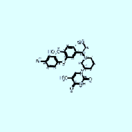 Cc1cn([C@H]2CCCN([C@H](CC(C)(C)C)c3ccc(C(=O)O)c(Oc4ccc(Br)cc4)c3)C2)c(=O)[nH]c1=O